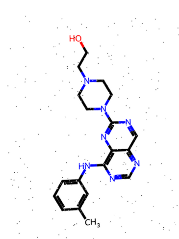 Cc1cccc(Nc2ncnc3cnc(N4CCN(CCO)CC4)nc23)c1